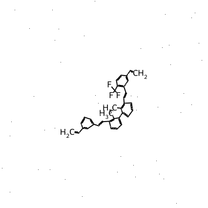 C=Cc1cccc(/C=C/c2cccc(-c3cccc(/C=C/c4cc(C=C)ccc4C(F)(F)F)c3C)c2C)c1